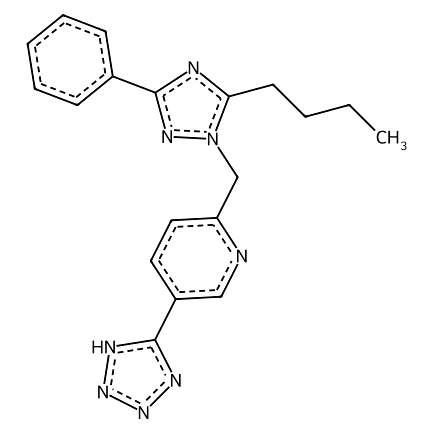 CCCCc1nc(-c2ccccc2)nn1Cc1ccc(-c2nnn[nH]2)cn1